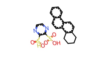 O=[SH](=O)c1nccnc1S(=O)(=O)O.c1ccc2c(c1)ccc1c3c(ccc12)CCCC3